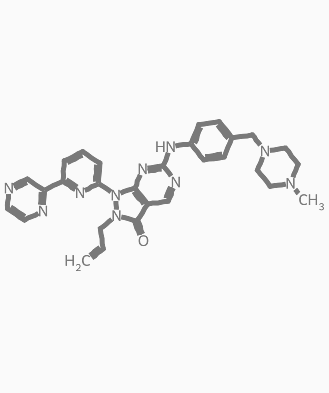 C=CCn1c(=O)c2cnc(Nc3ccc(CN4CCN(C)CC4)cc3)nc2n1-c1cccc(-c2cnccn2)n1